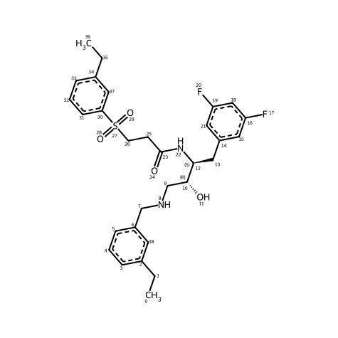 CCc1cccc(CNC[C@@H](O)[C@H](Cc2cc(F)cc(F)c2)NC(=O)CCS(=O)(=O)c2cccc(CC)c2)c1